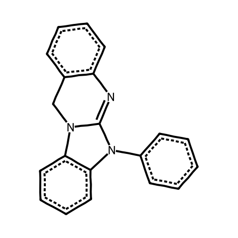 c1ccc(N2C3=Nc4ccccc4CN3c3ccccc32)cc1